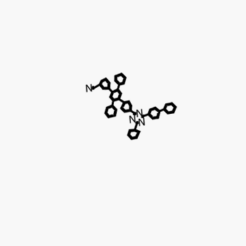 N#Cc1cccc(-c2cc(-c3ccccc3)c(-c3ccc(-c4nc(-c5ccccc5)nc(-c5ccc(-c6ccccc6)cc5)n4)cc3)cc2-c2ccccc2)c1